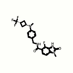 Cn1c(=O)[nH]c2c(F)c(C(=O)NCc3ccc(N(C)[C@H]4C[C@@H](C(F)(F)F)C4)cc3)ccc21